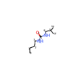 CCCCNC(=O)NCC(C)C